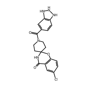 O=C1NC2(CCN(C(=O)c3ccc4c(c3)NNN4)CC2)Oc2ccc(Cl)cc21